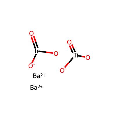 [Ba+2].[Ba+2].[O]=[Ti]([O-])[O-].[O]=[Ti]([O-])[O-]